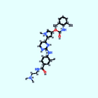 CCc1cccc(CC)c1NC(=O)Oc1cc(-c2ccnc(Nc3ccc(C(=O)NCCN(C)C)cc3C)n2)n(C)c1